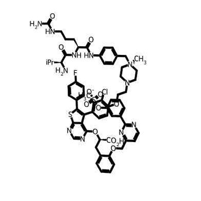 Cc1c(-c2c(-c3ccc(F)cc3)sc3ncnc(O[C@H](Cc4ccccc4OCc4ccnc(-c5cccc(OS(=O)(=O)[O-])c5)n4)C(=O)O)c23)ccc(OCCN2CC[N+](C)(Cc3ccc(NC(=O)[C@H](CCCNC(N)=O)NC(=O)[C@@H](N)C(C)C)cc3)CC2)c1Cl